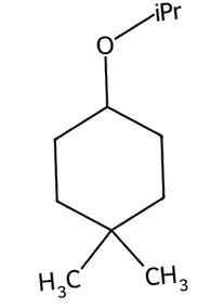 CC(C)OC1CCC(C)(C)CC1